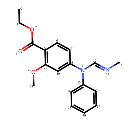 CCOC(=O)c1ccc(N(C=NC)c2ccccc2)cc1OC